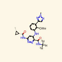 [2H]C([2H])([2H])NC(=O)c1nnc(NC(=O)[C@@H]2C[C@@H]2C)cc1Nc1cccc(-c2cnn(C)n2)c1OC